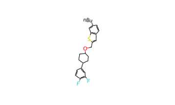 CCCCc1ccc2cc(COC3CCC(c4ccc(F)c(F)c4)CC3)sc2c1